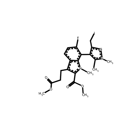 COC(=O)CCc1c(C(=O)OC)n(C)c2c(-c3c(CI)nn(C)c3C)c(F)ccc12